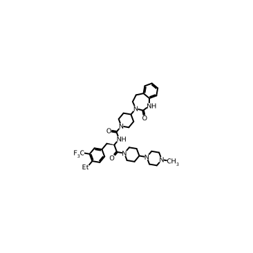 CCc1ccc(C[C@@H](NC(=O)N2CCC(N3CCc4ccccc4NC3=O)CC2)C(=O)N2CCC(N3CCN(C)CC3)CC2)cc1C(F)(F)F